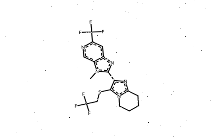 Cn1c(-c2nc3n(c2SCC(F)(F)F)CCCC3)nc2cc(C(F)(F)F)ncc21